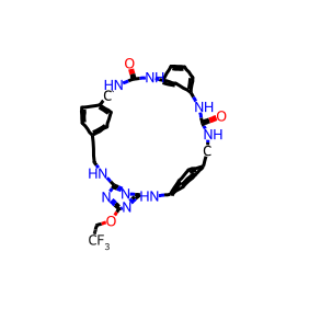 O=C1NCc2ccc(cc2)CNc2nc(nc(OCC(F)(F)F)n2)Nc2ccc(cc2)CNC(=O)Nc2cccc(c2)N1